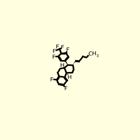 CCC/C=C/[C@@H]1CC[C@H]2c3cc(F)cc(F)c3CC[C@@H]2[C@H]1c1cc(F)c(C(F)(F)F)c(F)c1